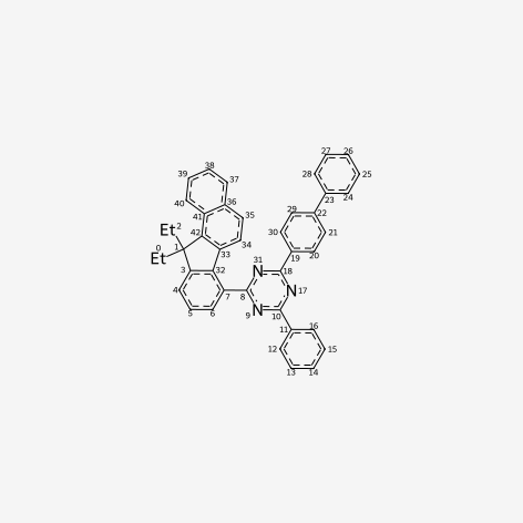 CCC1(CC)c2cccc(-c3nc(-c4ccccc4)nc(-c4ccc(-c5ccccc5)cc4)n3)c2-c2ccc3ccccc3c21